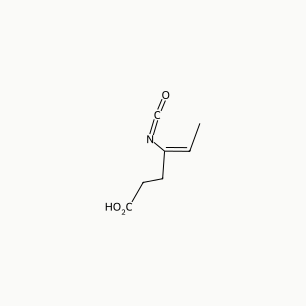 CC=C(CCC(=O)O)N=C=O